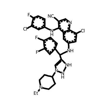 CCN1CCC(N2C=C(C(Nc3cc(Cl)c4ncc(C#N)c(Nc5ccc(F)c(Cl)c5)c4c3)c3ccc(F)c(F)c3)NN2)CC1